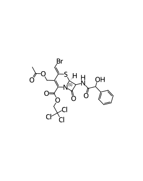 CC(=O)OCC1=C(C(=O)OCC(Cl)(Cl)Cl)N2C(=O)C(NC(=O)C(O)c3ccccc3)[C@@H]2SC1=CBr